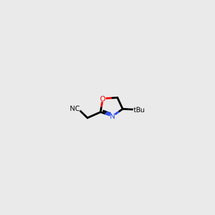 CC(C)(C)C1COC(CC#N)=N1